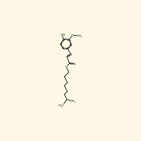 COc1cc(/C=C/C(=O)OCCCCCCC(C)C)ccc1O